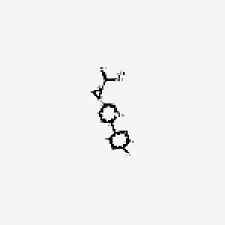 CCNC(=O)[C@@H]1C[C@H]1c1ccc(-c2ccc(F)cc2)nc1